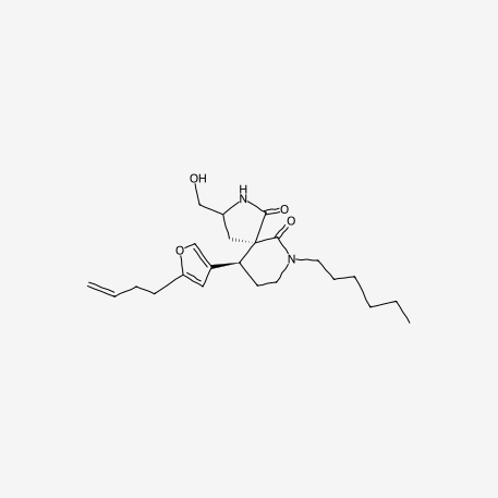 C=CCCc1cc([C@@H]2CCN(CCCCCC)C(=O)[C@@]23CC(CO)NC3=O)co1